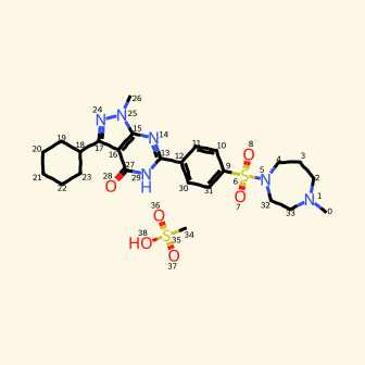 CN1CCCN(S(=O)(=O)c2ccc(-c3nc4c(c(C5CCCCC5)nn4C)c(=O)[nH]3)cc2)CC1.CS(=O)(=O)O